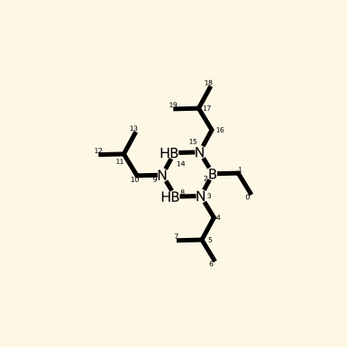 CCB1N(CC(C)C)BN(CC(C)C)BN1CC(C)C